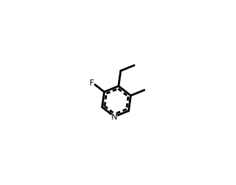 CCc1c(C)cncc1F